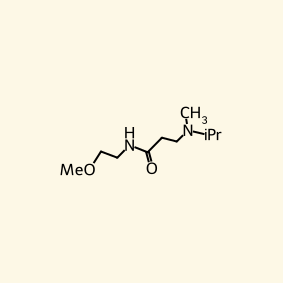 COCCNC(=O)CCN(C)C(C)C